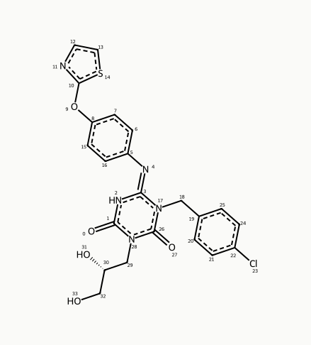 O=c1[nH]/c(=N\c2ccc(Oc3nccs3)cc2)n(Cc2ccc(Cl)cc2)c(=O)n1C[C@@H](O)CO